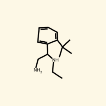 CCNC(CN)c1ccccc1C(C)(C)C